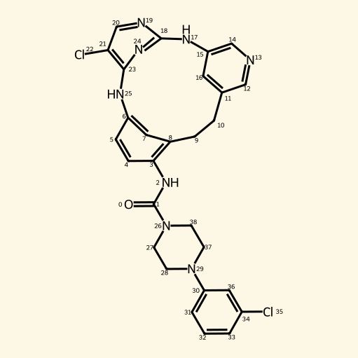 O=C(Nc1ccc2cc1CCc1cncc(c1)Nc1ncc(Cl)c(n1)N2)N1CCN(c2cccc(Cl)c2)CC1